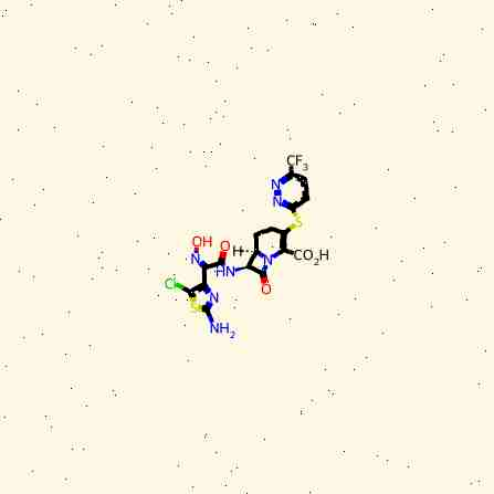 Nc1nc(/C(=N/O)C(=O)N[C@@H]2C(=O)N3C(C(=O)O)=C(Sc4ccc(C(F)(F)F)nn4)CC[C@H]23)c(Cl)s1